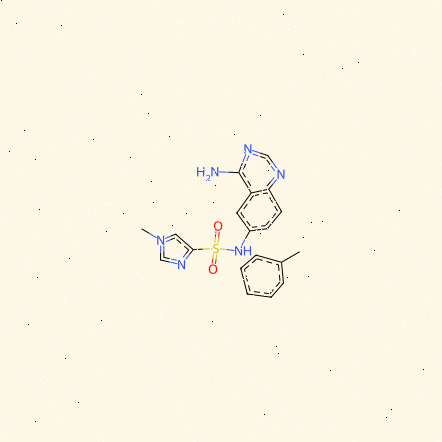 Cc1ccccc1.Cn1cnc(S(=O)(=O)Nc2ccc3ncnc(N)c3c2)c1